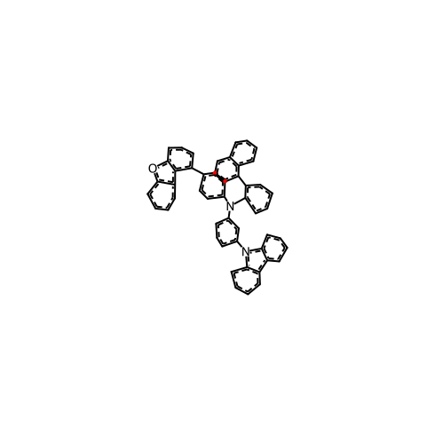 c1cc(N(c2ccc(-c3cccc4oc5ccccc5c34)cc2)c2ccccc2-c2cccc3ccccc23)cc(-n2c3ccccc3c3ccccc32)c1